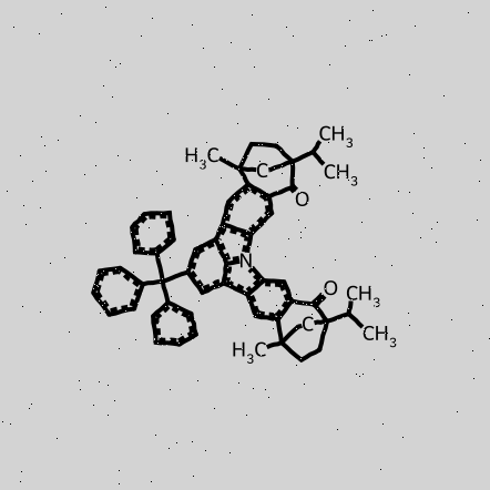 CC(C)C12CCC(C)(CC1)c1cc3c4cc(C(c5ccccc5)(c5ccccc5)c5ccccc5)cc5c6cc7c(cc6n(c3cc1C2=O)c45)C(=O)C1(C(C)C)CCC7(C)CC1